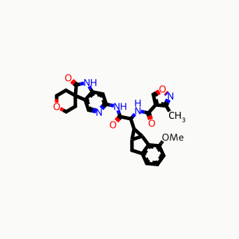 COc1cccc2c1C1C(C2)C1C(NC(=O)c1conc1C)C(=O)Nc1cc2c(cn1)C1(CCOCC1)C(=O)N2